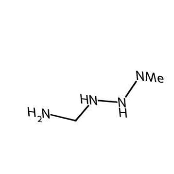 CNNNCN